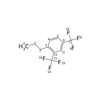 CCCc1ccc(C(F)(F)F)cc1C(F)(F)F